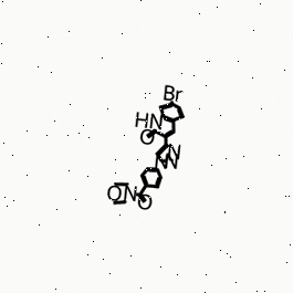 O=C(c1ccc(-n2cc(-c3cc4ccc(Br)cc4[nH]c3=O)nn2)cc1)N1CCOCC1